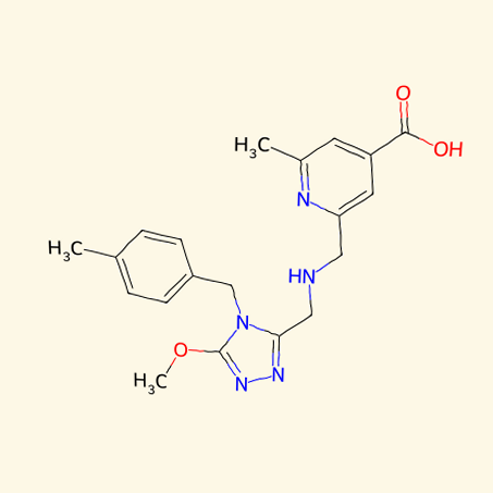 COc1nnc(CNCc2cc(C(=O)O)cc(C)n2)n1Cc1ccc(C)cc1